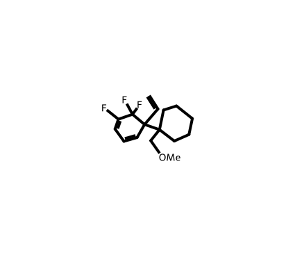 C=CC1(C2(COC)CCCCC2)C=CC=C(F)C1(F)F